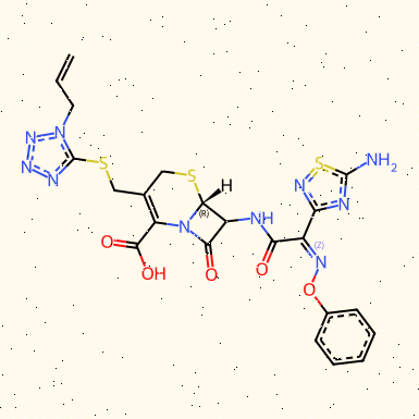 C=CCn1nnnc1SCC1=C(C(=O)O)N2C(=O)C(NC(=O)/C(=N\Oc3ccccc3)c3nsc(N)n3)[C@H]2SC1